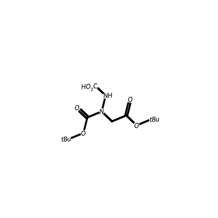 CC(C)(C)OC(=O)CN(NC(=O)O)C(=O)OC(C)(C)C